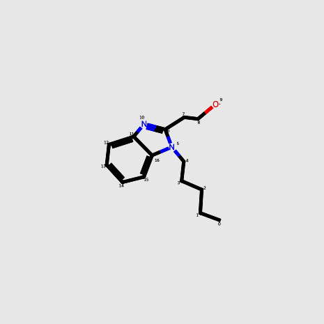 CCCCCn1c(CC[O])nc2ccccc21